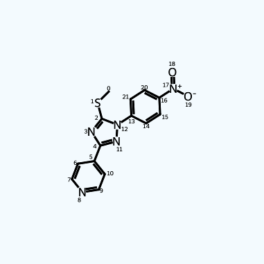 CSc1nc(-c2ccncc2)nn1-c1ccc([N+](=O)[O-])cc1